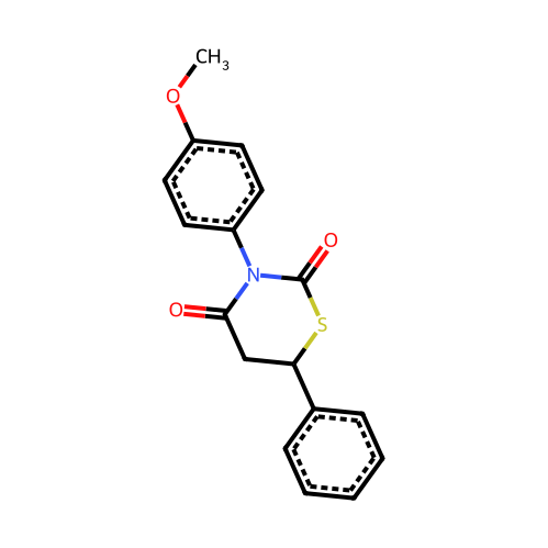 COc1ccc(N2C(=O)CC(c3ccccc3)SC2=O)cc1